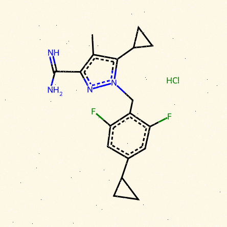 Cc1c(C(=N)N)nn(Cc2c(F)cc(C3CC3)cc2F)c1C1CC1.Cl